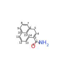 NC(=O)C1=CCc2cccc3cccc1c23